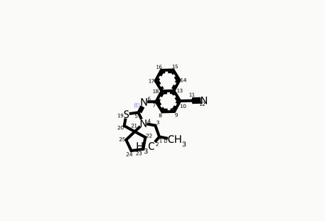 CC(C)CN1/C(=N\c2ccc(C#N)c3ccccc23)SCC12CCCC2